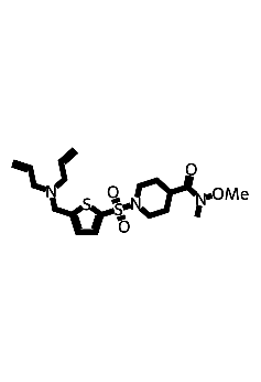 C=CCN(CC=C)Cc1ccc(S(=O)(=O)N2CCC(C(=O)N(C)OC)CC2)s1